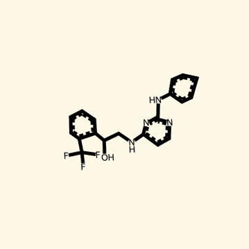 OC(CNc1ccnc(Nc2ccccc2)n1)c1ccccc1C(F)(F)F